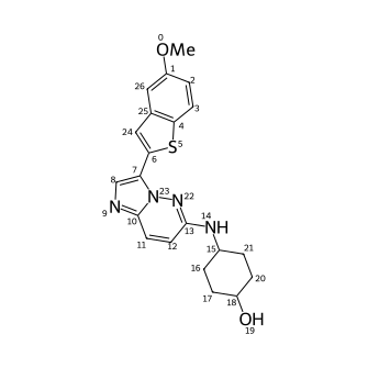 COc1ccc2sc(-c3cnc4ccc(NC5CCC(O)CC5)nn34)cc2c1